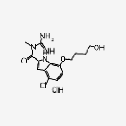 CN(C(=N)N)C(=O)c1cc2c(Cl)ccc(OCCCCO)c2[nH]1.Cl